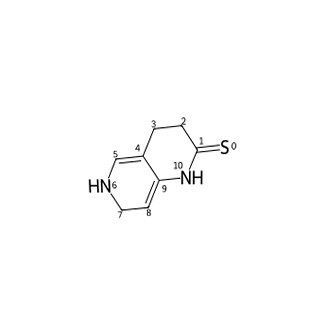 S=C1CCC2=CNCC=C2N1